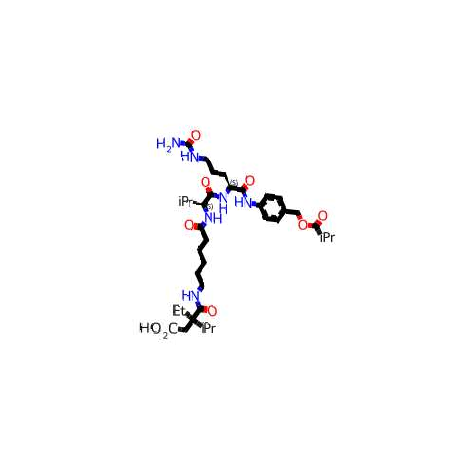 CCC(CC(=O)O)(C(=O)NCCCCCC(=O)N[C@H](C(=O)N[C@@H](CCCNC(N)=O)C(=O)Nc1ccc(COC(=O)C(C)C)cc1)C(C)C)C(C)C